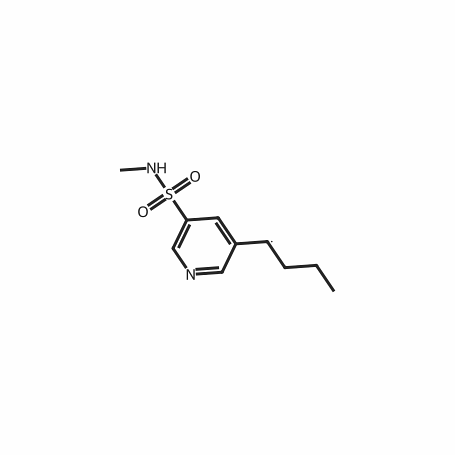 CCC[CH]c1cncc(S(=O)(=O)NC)c1